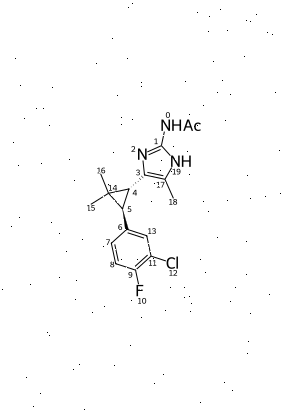 CC(=O)Nc1nc([C@@H]2[C@@H](c3ccc(F)c(Cl)c3)C2(C)C)c(C)[nH]1